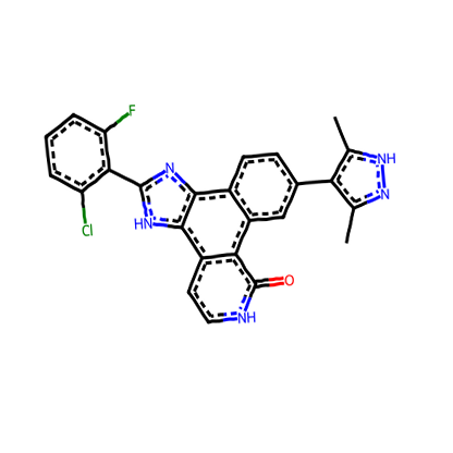 Cc1n[nH]c(C)c1-c1ccc2c(c1)c1c(=O)[nH]ccc1c1[nH]c(-c3c(F)cccc3Cl)nc21